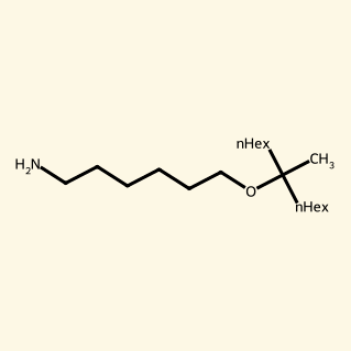 CCCCCCC(C)(CCCCCC)OCCCCCCN